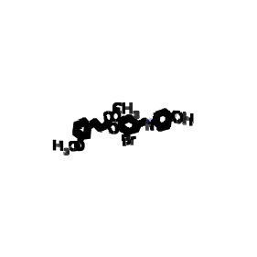 COc1cccc(C=CC(=O)Oc2c(Br)cc(/C=N/c3ccc(O)cc3)cc2OC)c1